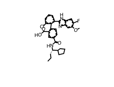 CCC[C@H](NC(=O)c1ccc(-c2c(Cl)cccc2-c2nc3cc(OC)c(F)cc3[nH]2)c(C(=O)O)c1)C1CCCC1